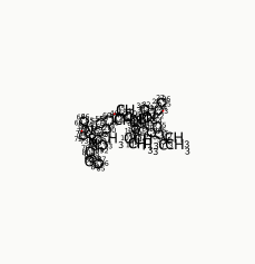 CC(C)(C)c1cc2ccc3c4c5c(c6ccc(c1)c2c36)-n1c2ccc3ccccc3c2c2cccc(c21)B5n1c2ccc(C(C)(C)Cc3cc5ccc6c7c8c(c9ccc(c3)c5c69)-n3c5ccccc5c5cccc(c53)B8n3c5ccc6oc8ccccc8c6c5c5cccc-7c53)cc2c2cc(C(C)(C)C)cc-4c21